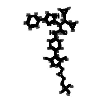 Cc1nn(COCC[Si](C)(C)C)c(C)c1-c1ccc(NC(=O)C(c2nc(-c3ccccc3)c[nH]2)C(C2CC2)C2CC2)cc1